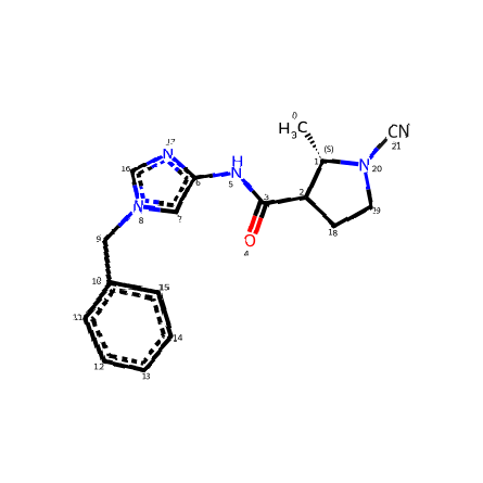 C[C@H]1C(C(=O)Nc2cn(Cc3ccccc3)cn2)CCN1C#N